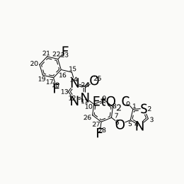 CCOC(=O)c1scnc1Oc1ccc(-n2ncn(Cc3c(F)cccc3F)c2=O)cc1F